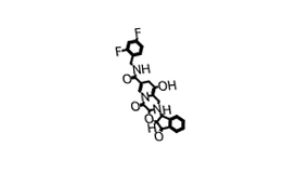 O=C(NCc1ccc(F)cc1F)C1=CN2C(=O)C3O[C@H]4C(=O)c5ccccc5[C@@H]4N3CC2=C(O)C1